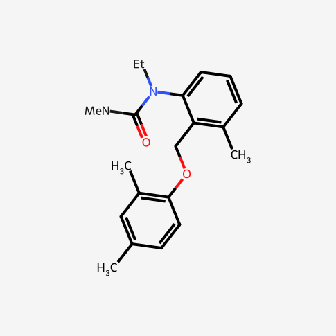 CCN(C(=O)NC)c1cccc(C)c1COc1ccc(C)cc1C